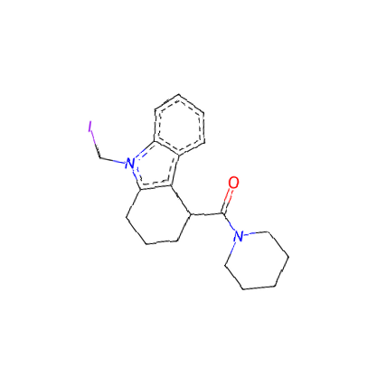 O=C(C1CCCc2c1c1ccccc1n2CI)N1CCCCC1